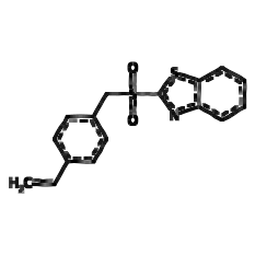 C=Cc1ccc(CS(=O)(=O)c2nc3ccccc3s2)cc1